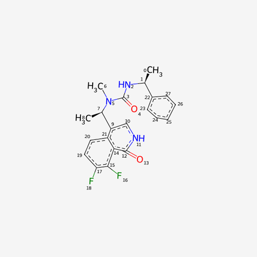 C[C@H](NC(=O)N(C)[C@H](C)c1c[nH]c(=O)c2c(F)c(F)ccc12)c1ccccc1